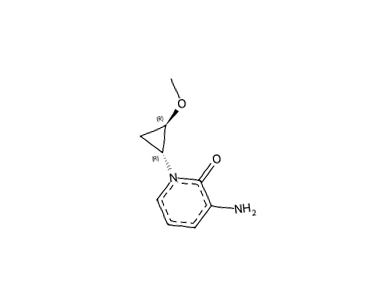 CO[C@@H]1C[C@H]1n1cccc(N)c1=O